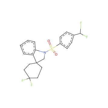 O=S(=O)(c1ccc(C(F)F)cc1)N1CC2(CCC(F)(F)CC2)c2ccccc21